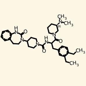 CCc1ccc(CC(NC(=O)N2CCC(N3CCc4ccccc4NC3=O)CC2)C(=O)N2CCC[C@@H](N(C)C)C2)cc1CC